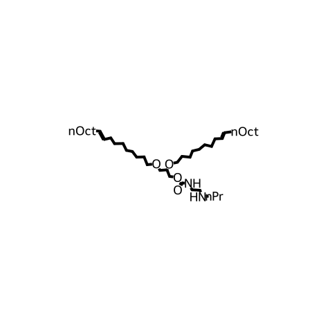 CCCCCCCCC=CCCCCCCCCOCC(COC(=O)NCCNCCC)OCCCCCCCCC=CCCCCCCCC